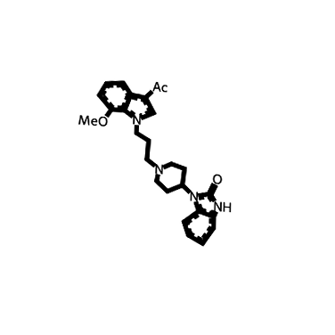 COc1cccc2c(C(C)=O)cn(CCCN3CCC(n4c(=O)[nH]c5ccccc54)CC3)c12